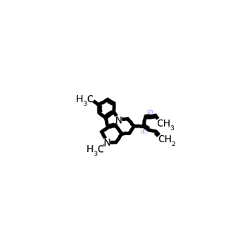 C=C/C=C(\C=C/C)C1CC2CN(C)Cc3c2n(c2ccc(C)cc32)C1